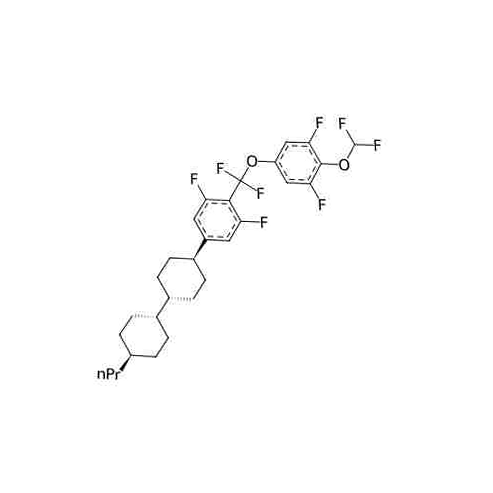 CCC[C@H]1CC[C@H]([C@H]2CC[C@H](c3cc(F)c(C(F)(F)Oc4cc(F)c(OC(F)F)c(F)c4)c(F)c3)CC2)CC1